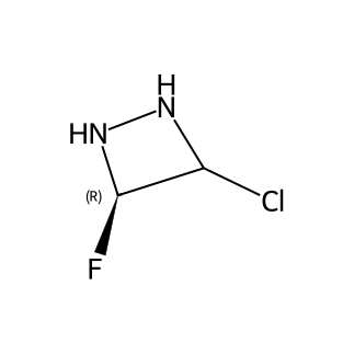 F[C@H]1NNC1Cl